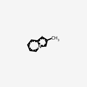 Cc1[c]c2ccccn2c1